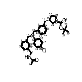 CC(=O)NCc1cccc(CN(Cc2cccc(C[C@@H]3CCN(C(=O)OC(C)(C)C)C3)c2)c2ccc(Cl)cc2)c1